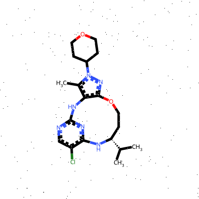 Cc1c2c(nn1C1CCOCC1)OCC[C@H](C(C)C)Nc1nc(ncc1Cl)N2